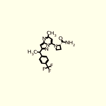 Cc1cc(N2CC[C@H]2C(N)=O)n2nc(C(C)c3ccc(C(F)(F)F)cc3)cc2n1